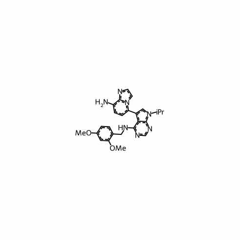 COc1ccc(CNc2ncnc3c2c(-c2ccc(N)c4nccn24)cn3C(C)C)c(OC)c1